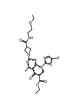 CCOCCNC(=O)C1CN(c2nc(C)c3c(=O)c(C(=O)OCC)cn(-c4ncc(F)s4)c3n2)C1